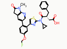 CN1C(=O)Cc2cc(-c3ccc(OCF)cc3-c3csc(N(C(=O)[C@@H](CC(=O)O)Cc4ccccc4)C4CC4)n3)cnc21